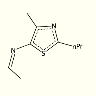 C/C=N\c1sc(CCC)nc1C